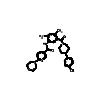 Cc1cc(C)c(C(=O)N2CCC(c3ccc(C#N)cc3)CC2)cc1NC(=O)c1ccc(N2CCOCC2)nc1